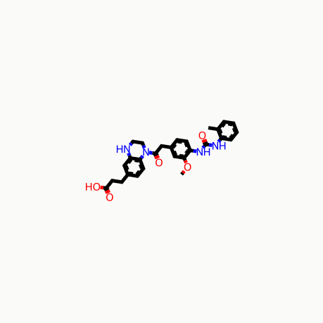 COc1cc(CC(=O)N2CCNc3cc(CCC(=O)O)ccc32)ccc1NC(=O)Nc1ccccc1C